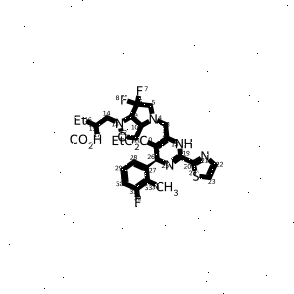 CCOC(=O)C1=C(CN2CC(F)(F)C3C2CON3CC(CC)C(=O)O)NC(c2nccs2)=N[C@H]1c1cccc(F)c1C